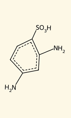 Nc1ccc(S(=O)(=O)O)c(N)c1